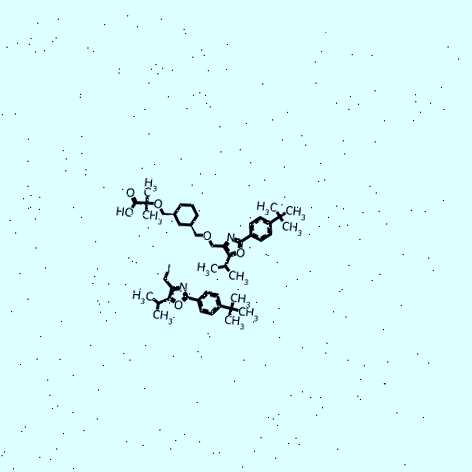 CC(C)c1oc(-c2ccc(C(C)(C)C)cc2)nc1CI.CC(C)c1oc(-c2ccc(C(C)(C)C)cc2)nc1COC[C@@H]1CCC[C@H](COC(C)(C)C(=O)O)C1